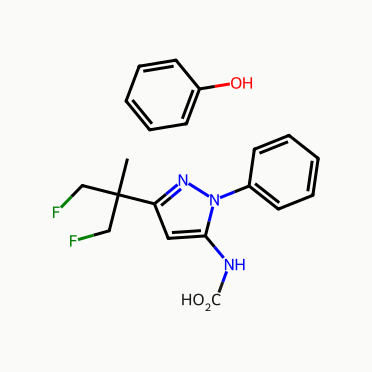 CC(CF)(CF)c1cc(NC(=O)O)n(-c2ccccc2)n1.Oc1ccccc1